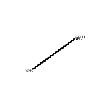 CCCCCCCCCCCCCCCCCCCCCCCCCCCCCCCCCCCCCCCCCCCNC(=O)O